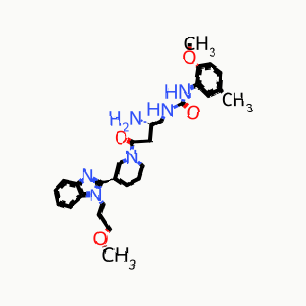 COCCCn1c([C@@H]2CCCN(C(=O)C[C@H](N)CNC(=O)Nc3cc(C)ccc3OC)C2)nc2ccccc21